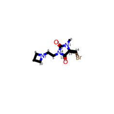 CN1C(=O)N(CCN2CCC2)C(=O)C1=CBr